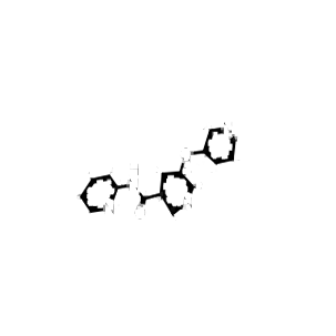 O=C(Nc1ccccn1)c1cncc(Oc2cccnc2)c1